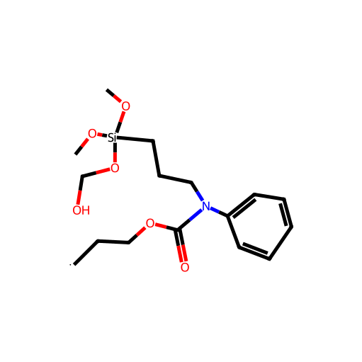 [CH2]CCOC(=O)N(CCC[Si](OC)(OC)OCO)c1ccccc1